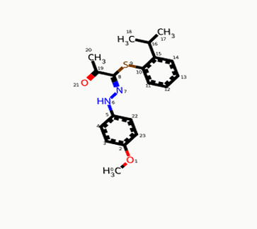 COc1ccc(N/N=C(/Sc2ccccc2C(C)C)C(C)=O)cc1